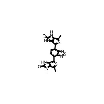 Cc1sc(-c2ccc(-c3sc(C)c4[nH]c(=O)[nH]c34)c3nsnc23)c2[nH]c(=O)[nH]c12